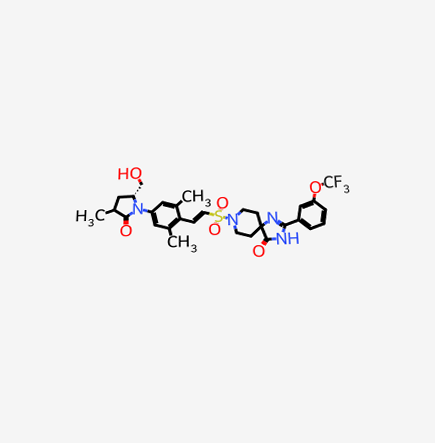 Cc1cc(N2C(=O)C(C)C[C@@H]2CO)cc(C)c1/C=C/S(=O)(=O)N1CCC2(CC1)N=C(c1cccc(OC(F)(F)F)c1)NC2=O